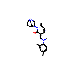 C=C/C=C\C(=C/N(C)c1ccc(C)cc1C)C(=O)NC1CN2CCC1CC2